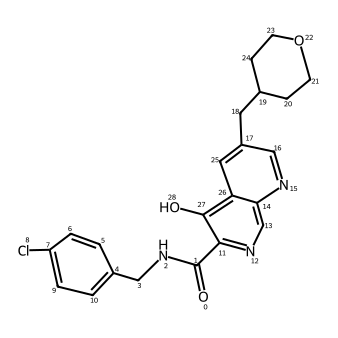 O=C(NCc1ccc(Cl)cc1)c1ncc2ncc(CC3CCOCC3)cc2c1O